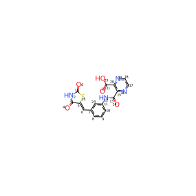 O=C1NC(=O)C(=Cc2cccc(NC(=O)c3nccnc3C(=O)O)c2)S1